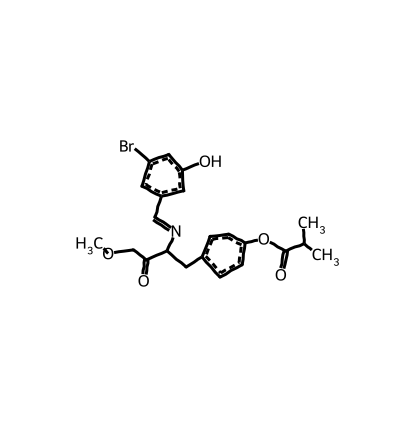 COCC(=O)C(Cc1ccc(OC(=O)C(C)C)cc1)N=Cc1cc(O)cc(Br)c1